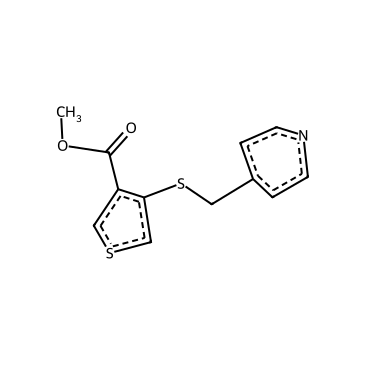 COC(=O)c1cscc1SCc1ccncc1